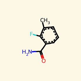 Cc1cccc(C(N)=O)c1F